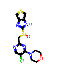 [O-][S+](Cc1ncc(Cl)c(N2CCOCC2)n1)c1nc2cscc2[nH]1